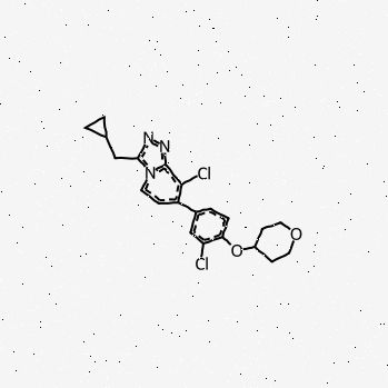 Clc1cc(-c2ccn3c(CC4CC4)nnc3c2Cl)ccc1OC1CCOCC1